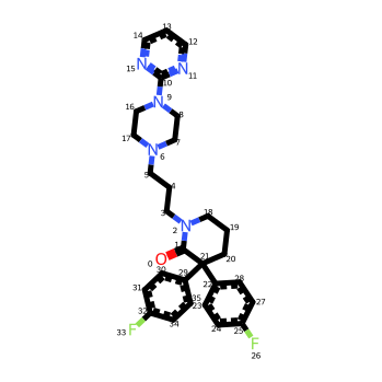 O=C1N(CCCN2CCN(c3ncccn3)CC2)CCCC1(c1ccc(F)cc1)c1ccc(F)cc1